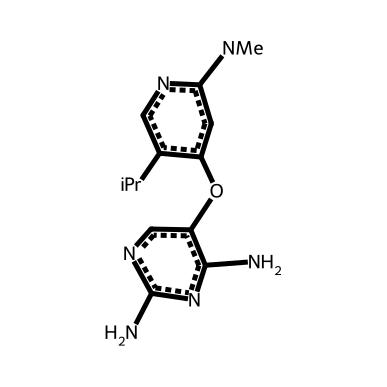 CNc1cc(Oc2cnc(N)nc2N)c(C(C)C)cn1